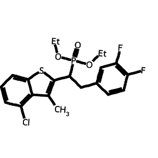 CCOP(=O)(OCC)C(Cc1ccc(F)c(F)c1)c1sc2cccc(Cl)c2c1C